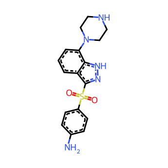 Nc1ccc(S(=O)(=O)c2n[nH]c3c(N4CCNCC4)cccc23)cc1